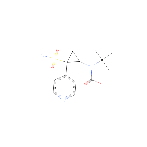 CC(C)(C)N(C(=O)O)C1CC1(c1ccncc1)S(N)(=O)=O